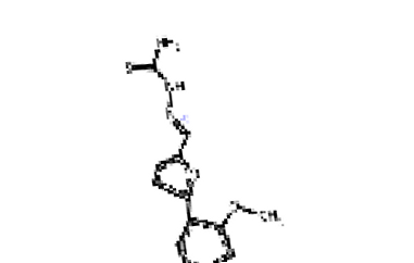 COc1ccccc1-c1ccc(/C=N/NC(N)=S)o1